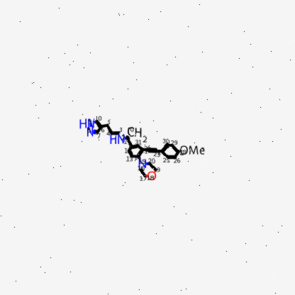 C=C(NCCCc1cn[nH]c1)c1ccc(N2CCOCC2)c(C#Cc2ccc(OC)cc2)c1